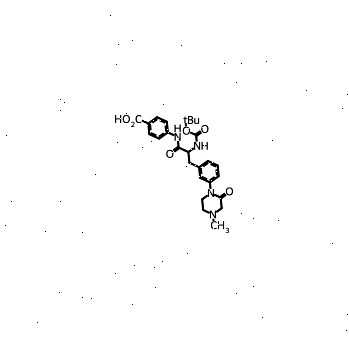 CN1CCN(c2cccc(CC(NC(=O)OC(C)(C)C)C(=O)Nc3ccc(C(=O)O)cc3)c2)C(=O)C1